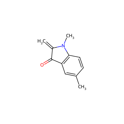 C=C1C(=O)c2cc(C)ccc2N1C